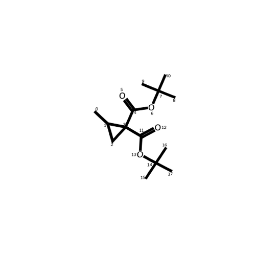 CC1CC1(C(=O)OC(C)(C)C)C(=O)OC(C)(C)C